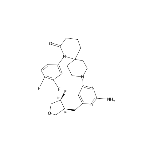 Nc1nc(C[C@H]2COC[C@H]2F)cc(N2CCC3(CCCC(=O)N3c3ccc(F)c(F)c3)CC2)n1